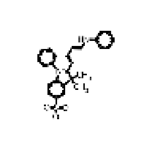 CC1(C)C(/C=C/C=C/Nc2ccccc2)=[N+](c2ccccc2)c2ccc(S(=O)(=O)[O-])cc21